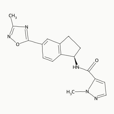 Cc1noc(-c2ccc3c(c2)CC[C@H]3NC(=O)c2ccnn2C)n1